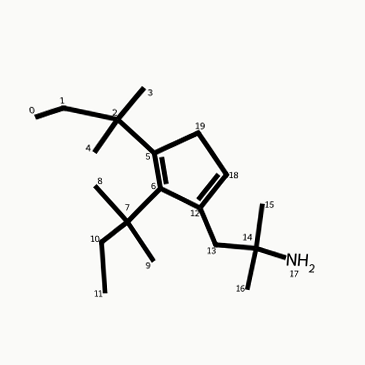 CCC(C)(C)C1=C(C(C)(C)CC)C(CC(C)(C)N)=CC1